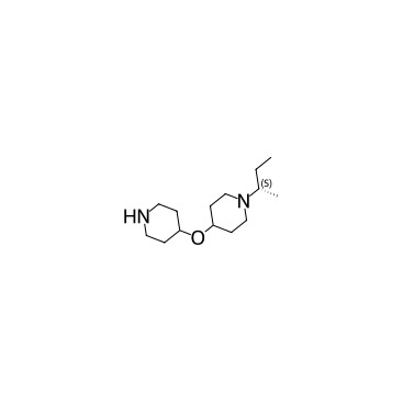 CC[C@H](C)N1CCC(OC2CCNCC2)CC1